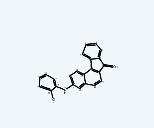 O=C1c2ccccc2-c2c1ccc1cc(Nc3ccccc3Cl)ccc21